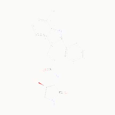 O=C(C=Cc1c(-c2ccccc2)[nH]c2c(Br)cccc12)N[C@@H]1C(=O)NC[C@H]1O